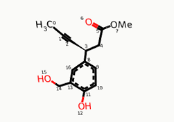 CC#C[C@@H](CC(=O)OC)c1ccc(O)c(CO)c1